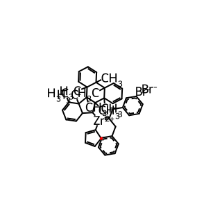 CC1=CC=CC2[CH]([Zr+2]([C]3=CC=CC3)=[C](Cc3ccccc3)Cc3ccccc3)C3(C)C4(C)C=CC=CC4(C)C4(C)C=CC=CC4(C)C3(C)C12C.[Br-].[Br-]